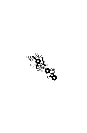 CCCCC(Oc1ccc(C(C)(C)CC)cc1C(C)(C)CC)C(=O)Nc1ccc(N2C(=O)c3ccccc3C2=O)c(O)c1